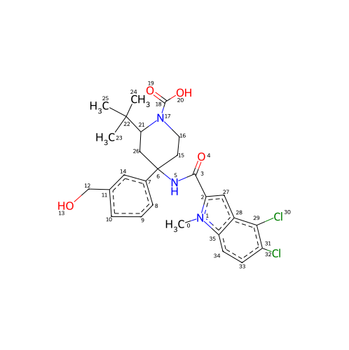 Cn1c(C(=O)NC2(c3cccc(CO)c3)CCN(C(=O)O)C(C(C)(C)C)C2)cc2c(Cl)c(Cl)ccc21